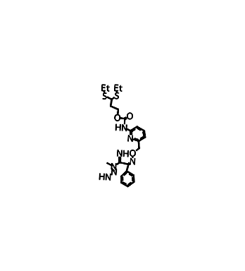 CCSC(CCOC(=O)Nc1cccc(CO/N=C(\C(=N)N(C)N=N)c2ccccc2)n1)SCC